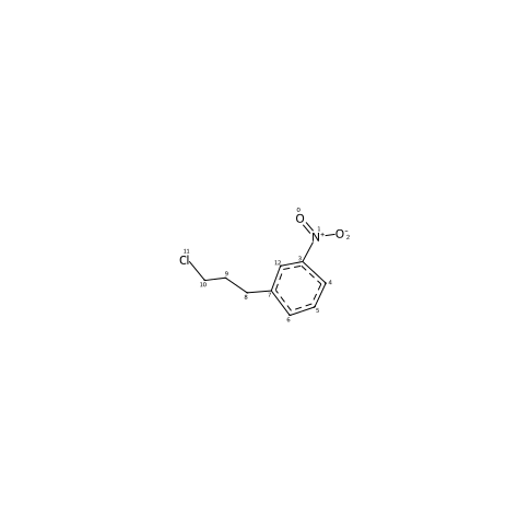 O=[N+]([O-])c1cccc(CCCCl)c1